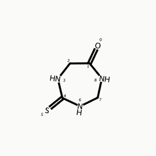 O=C1CNC(=S)NCN1